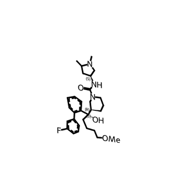 COCCCC[C@@](O)(c1ccccc1-c1cccc(F)c1)[C@@H]1CCCN(C(=O)N[C@H]2CC(C)N(C)C2)C1